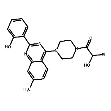 CCC(O)C(=O)N1CCN(c2nc(-c3ccccc3O)nc3cc(C)ccc23)CC1